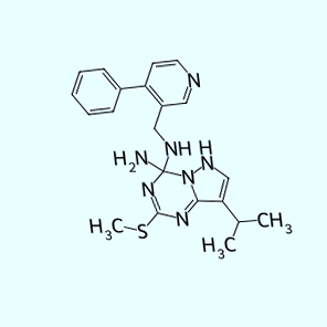 CSC1=NC(N)(NCc2cnccc2-c2ccccc2)N2NC=C(C(C)C)C2=N1